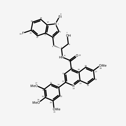 CCn1cc(C[C@H](CO)NC(=O)c2cc(-c3cc(OC)c(OC)c(OC)c3)nc3ccc(OC)cc23)c2cc(F)ccc21